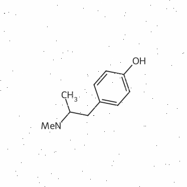 CNC(C)Cc1ccc(O)cc1